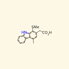 CSc1c(CC(=O)O)cc(C)c2c1[nH]c1ccccc12